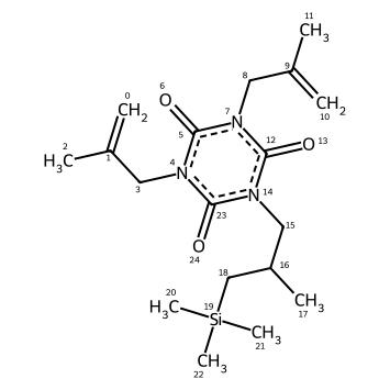 C=C(C)Cn1c(=O)n(CC(=C)C)c(=O)n(CC(C)C[Si](C)(C)C)c1=O